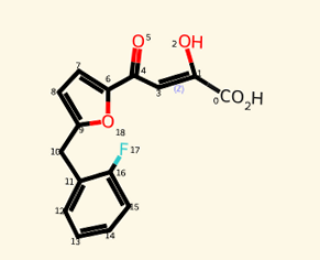 O=C(O)/C(O)=C/C(=O)c1ccc(Cc2ccccc2F)o1